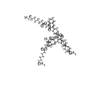 CCCCCCCC(=O)OCn1cc2cc(C[C@@H](NC(=O)N3CCC(c4cc5ccccc5n(COC(=O)CCCCCCC)c4=O)CC3)C(=O)N3CCN(C4CCN(C)CC4)CC3)cc(C)c2n1